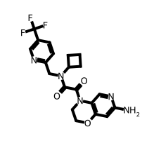 Nc1cc2c(cn1)N(C(=O)C(=O)N(Cc1ccc(C(F)(F)F)cn1)C1CCC1)CCO2